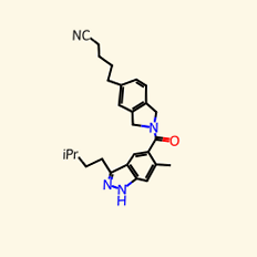 Cc1cc2[nH]nc(CCC(C)C)c2cc1C(=O)N1Cc2ccc(CCCCC#N)cc2C1